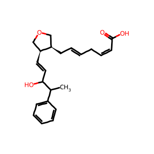 CC(c1ccccc1)C(O)/C=C/[C@H]1COC[C@H]1CC=CC/C=C\C(=O)O